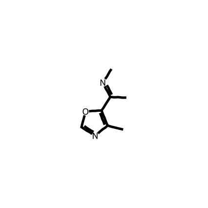 C/N=C(\C)c1ocnc1C